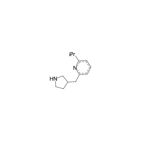 CC(C)c1cccc(CC2CCNC2)n1